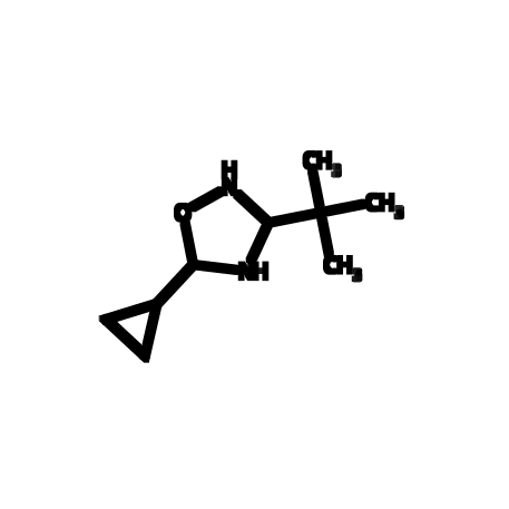 CC(C)(C)C1NOC(C2CC2)N1